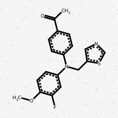 COc1ccc(N(Cc2cncs2)c2ccc(C(C)=O)cc2)cc1F